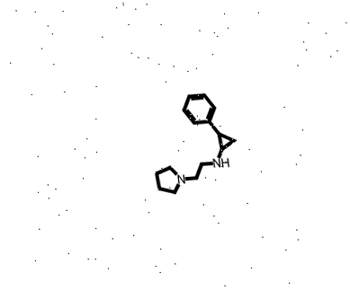 c1ccc(C2CC2NCCN2CCCC2)cc1